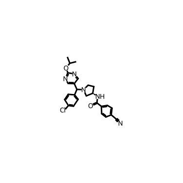 CC(C)Oc1ncc(C(c2ccc(Cl)cc2)N2CC[C@@H](NC(=O)c3ccc(C#N)cc3)C2)cn1